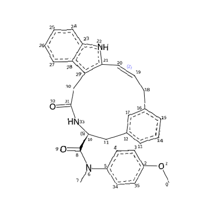 COc1ccc(N(C)C(=O)[C@@H]2Cc3cccc(c3)C/C=C\c3[nH]c4ccccc4c3CC(=O)N2)cc1